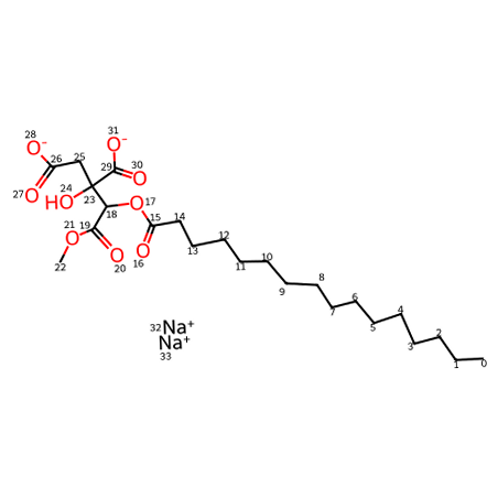 CCCCCCCCCCCCCCCC(=O)OC(C(=O)OC)C(O)(CC(=O)[O-])C(=O)[O-].[Na+].[Na+]